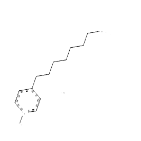 CCCCCCCCCCCCCCCCCc1cc[n+](CC)cc1.[Br-]